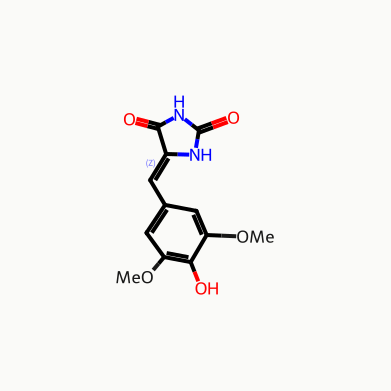 COc1cc(/C=C2\NC(=O)NC2=O)cc(OC)c1O